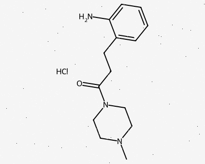 CN1CCN(C(=O)CCc2ccccc2N)CC1.Cl